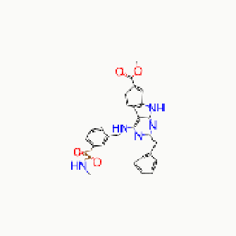 CNS(=O)(=O)c1cccc(CNc2nc(Cc3ccccc3)nc3[nH]c4cc(C(=O)OC)ccc4c23)c1